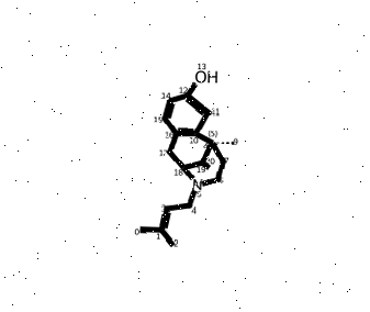 CC(C)=CCN1CC[C@]2(C)c3cc(O)ccc3CC1C2C